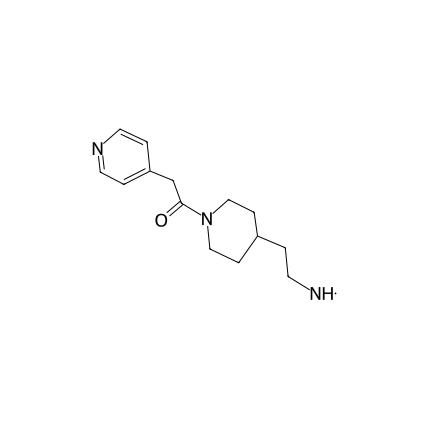 [NH]CCC1CCN(C(=O)Cc2ccncc2)CC1